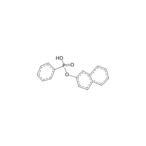 O=P(O)(Oc1ccc2ccccc2c1)c1ccccc1